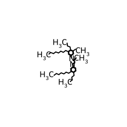 CCCCCCCCc1cc(N=CC(C)=Nc2cc(CC)c(CCCC)c(CCCCCCCC)c2)ccc1CCCC